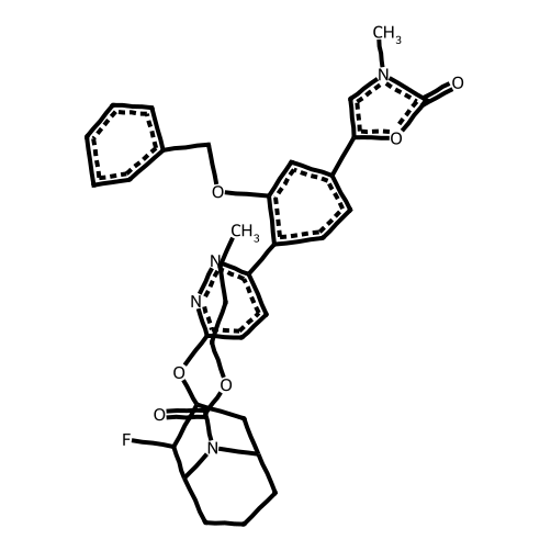 CCCCOC(=O)N1C2CCCC1C(F)C(Oc1ccc(-c3ccc(-c4cn(C)c(=O)o4)cc3OCc3ccccc3)nn1)C2